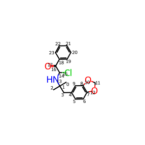 CC(C)(Cc1ccc2c(c1)OCO2)NC(Cl)C(=O)c1ccccc1